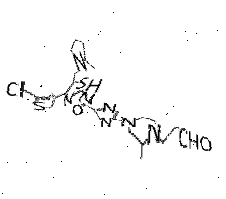 CC1CN(c2cnc(C(=O)Nc3nc(-c4csc(Cl)c4)c(CN4CCCC4C)s3)cn2)CCN1CCC=O